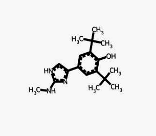 CNc1nc(-c2cc(C(C)(C)C)c(O)c(C(C)(C)C)c2)c[nH]1